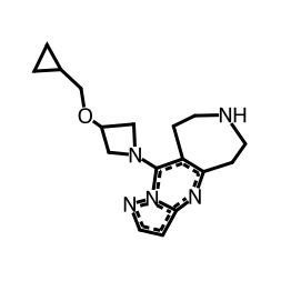 c1cc2nc3c(c(N4CC(OCC5CC5)C4)n2n1)CCNCC3